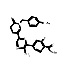 COC(=O)c1ccc(-c2nc(C3=CN(Cc4ccc(OC)cc4)C(=O)CC3)cnc2N)cc1F